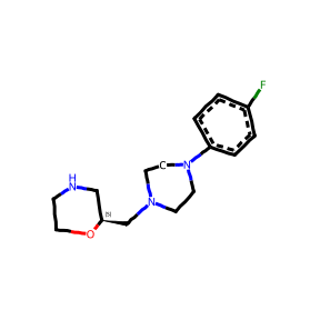 Fc1ccc(N2CCN(C[C@@H]3CNCCO3)CC2)cc1